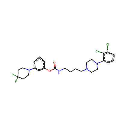 O=C(NCCCCN1CCN(c2cccc(Cl)c2Cl)CC1)Oc1cccc(N2CCC(F)(F)CC2)c1